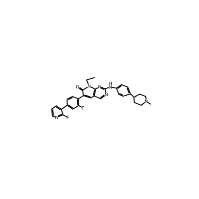 CCn1c(=O)c(-c2ccc(-c3cccnc3F)cc2F)cc2cnc(Nc3ccc(C4CCN(C)CC4)cc3)nc21